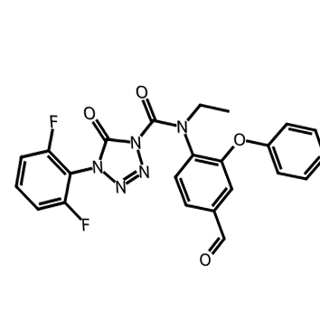 CCN(C(=O)n1nnn(-c2c(F)cccc2F)c1=O)c1ccc(C=O)cc1Oc1ccccc1